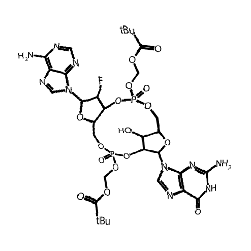 CC(C)(C)C(=O)OCOP1(=O)OCC2OC(n3cnc4c(=O)[nH]c(N)nc43)C(OP(=O)(OCOC(=O)C(C)(C)C)OCC3OC(n4cnc5c(N)ncnc54)C(F)C3O1)C2O